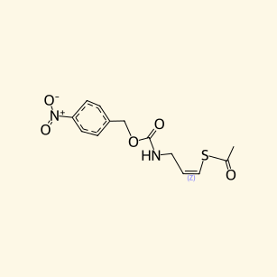 CC(=O)S/C=C\CNC(=O)OCc1ccc([N+](=O)[O-])cc1